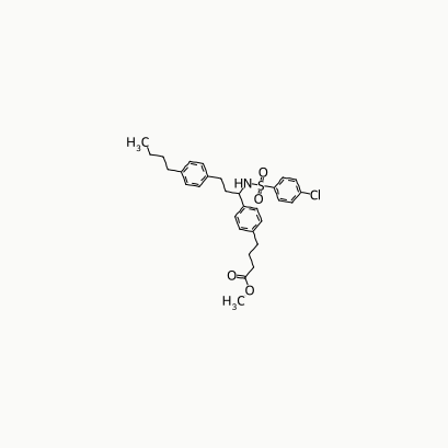 CCCCc1ccc(CCC(NS(=O)(=O)c2ccc(Cl)cc2)c2ccc(CCCC(=O)OC)cc2)cc1